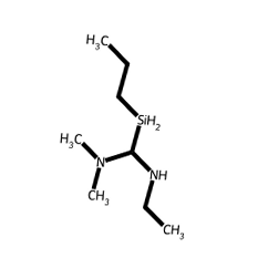 CCC[SiH2]C(NCC)N(C)C